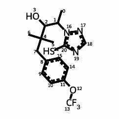 CC(C(O)C(C)(C)Cc1ccc(OC(F)(F)F)cc1)n1ncnc1S